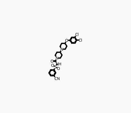 N#Cc1cccc(S(=O)(=O)NC(=O)N2CCC(N3CCC(Oc4ccc(Cl)c(Cl)c4)CC3)CC2)c1